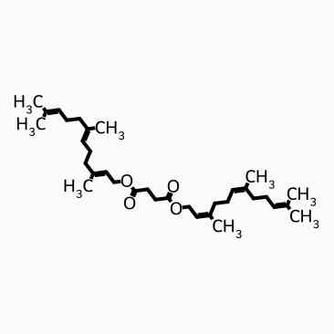 CC(C)=CCCC(C)=CCCC(C)=CCOC(=O)CCC(=O)OCC=C(C)CCC=C(C)CCC=C(C)C